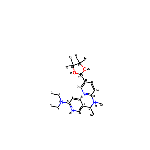 CCN(CC)c1ccc([C@H](C)N(C)c2ccc(B3OC(C)(C)C(C)(C)O3)cn2)cn1